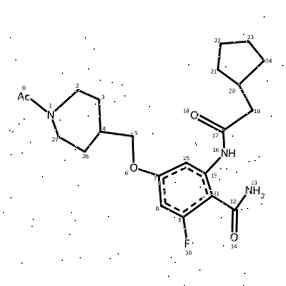 CC(=O)N1CCC(COc2cc(F)c(C(N)=O)c(NC(=O)CC3CCCC3)c2)CC1